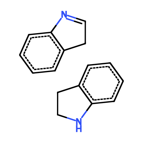 C1=Nc2ccccc2C1.c1ccc2c(c1)CCN2